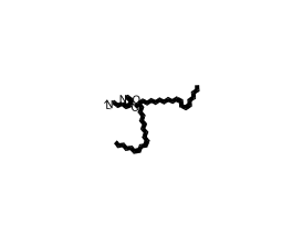 CCCCC/C=C\C/C=C\CCCCCCCCC1(CCCCCCCC/C=C\C/C=C\CCCCC)Oc2cnc(CCN(C)C)cc2O1